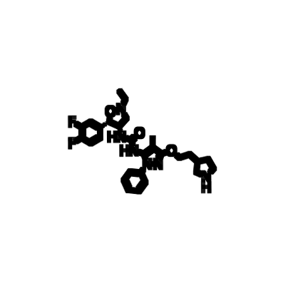 CCN1C[C@@H](NC(=O)Nc2c(C)c(OCCC3CCNC3)nn2-c2ccccc2)[C@H](c2ccc(F)c(F)c2)O1